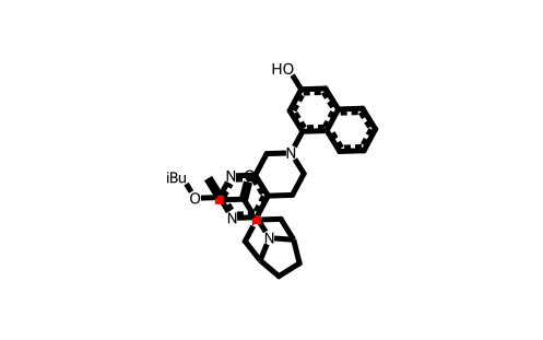 C=CC(=O)N1CC2CCC(C1)N2c1nc(OC(C)CC)nc2c1CCN(c1cc(O)cc3ccccc13)C2